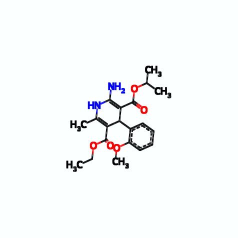 CCOC(=O)C1=C(C)NC(N)=C(C(=O)OC(C)C)C1c1ccccc1OC